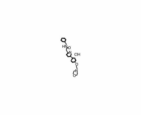 Cl.O=C(Cc1ccc(-c2ccc(OCCN3CCOCC3)cc2)cn1)NCc1ccccc1